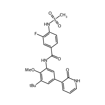 COc1c(NC(=O)c2ccc(NS(C)(=O)=O)c(F)c2)cc(-c2ccc[nH]c2=O)cc1C(C)(C)C